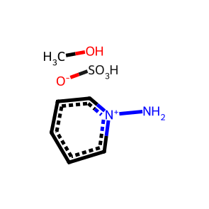 CO.N[n+]1ccccc1.O=S(=O)([O-])O